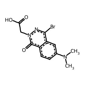 CN(C)c1ccc2c(=O)n(CC(=O)O)nc(Br)c2c1